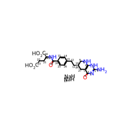 Nc1nc(=O)c2c([nH]1)NC[C@H](CCc1ccc(C(=O)N[C@@H](CCC(=O)O)C(=O)O)cc1)C2.[NaH].[NaH]